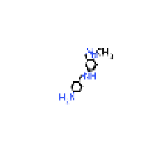 Cn1ncc2cc(NCc3ccc(N)cc3)ccc21